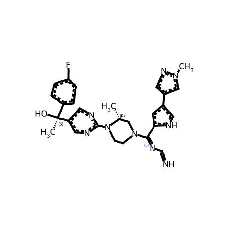 C[C@@H]1CN(/C(=N/C=N)c2cc(-c3cnn(C)c3)c[nH]2)CCN1c1ncc([C@@](C)(O)c2ccc(F)cc2)cn1